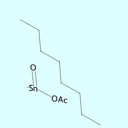 CC(=O)[O][Sn]=[O].CCCCCCCC